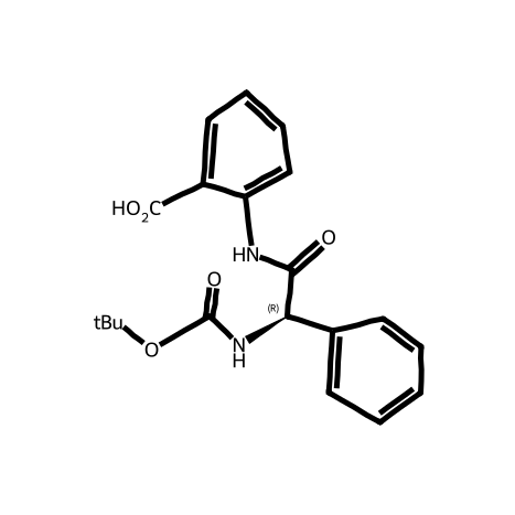 CC(C)(C)OC(=O)N[C@@H](C(=O)Nc1ccccc1C(=O)O)c1ccccc1